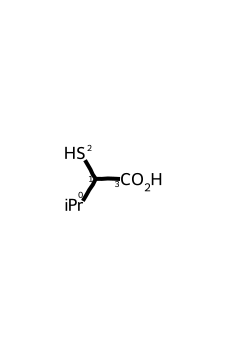 CC(C)C(S)C(=O)O